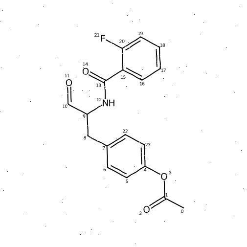 CC(=O)Oc1ccc(CC(C=O)NC(=O)c2ccccc2F)cc1